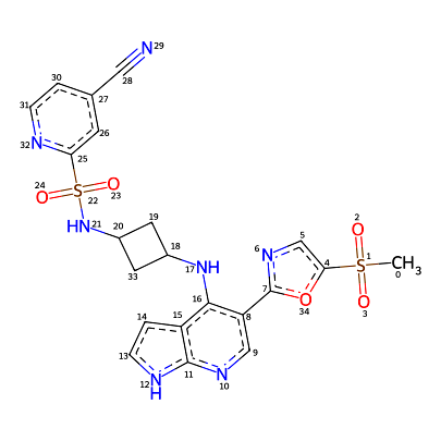 CS(=O)(=O)c1cnc(-c2cnc3[nH]ccc3c2NC2CC(NS(=O)(=O)c3cc(C#N)ccn3)C2)o1